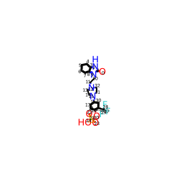 O=c1[nH]c2ccccc2n1CCN1CCN(c2ccc(OS(=O)(=O)O)c(C(F)(F)F)c2)CC1